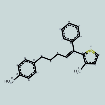 Cc1ccsc1C(=CCCCc1ccc(S(=O)(=O)O)cc1)c1ccccc1